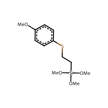 COc1ccc(SCC[Si](OC)(OC)OC)cc1